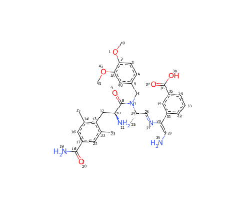 COc1ccc(CN(C(=O)[C@@H](N)Cc2c(C)cc(C(N)=O)cc2C)[C@@H](C)/C=N/C(=C\N)c2cccc(C(=O)O)c2)cc1OC